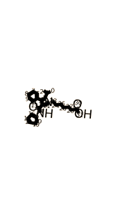 CC(C)c1c(-c2ccccc2)c(C(=O)Nc2ccccc2)cn1CCCCCCC(=O)O